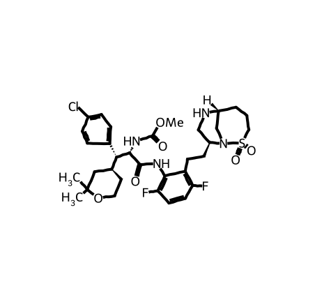 COC(=O)N[C@H](C(=O)Nc1c(F)ccc(F)c1CC[C@H]1CN[C@@H]2CCCS(=O)(=O)N1C2)[C@@H](c1ccc(Cl)cc1)[C@H]1CCOC(C)(C)C1